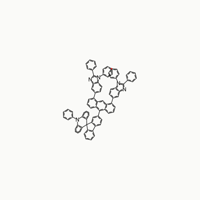 c1ccc(-c2nc3cc(-c4cccc5c(-c6ccc7c(c6)C6(c8ccccc8-7)c7ccccc7N(c7ccccc7)c7ccccc76)c6cccc(-c7ccc8c(c7)nc(-c7ccccc7)n8-c7ccccc7)c6cc45)ccc3n2-c2ccccc2)cc1